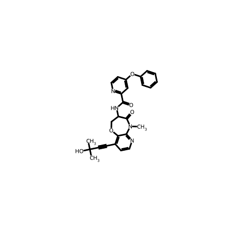 CN1C(=O)C(NC(=O)c2cc(Oc3ccccc3)ccn2)COc2c(C#CC(C)(C)O)ccnc21